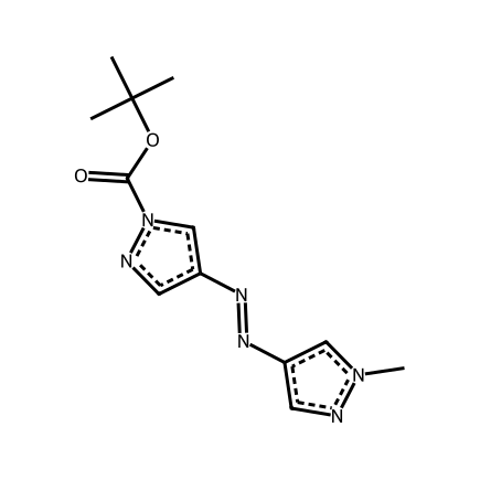 Cn1cc(/N=N/c2cnn(C(=O)OC(C)(C)C)c2)cn1